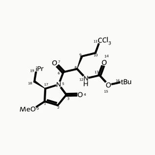 COC1=CC(=O)N(C(=O)[C@@H](CCC(Cl)(Cl)Cl)NC(=O)OC(C)(C)C)[C@@H]1CC(C)C